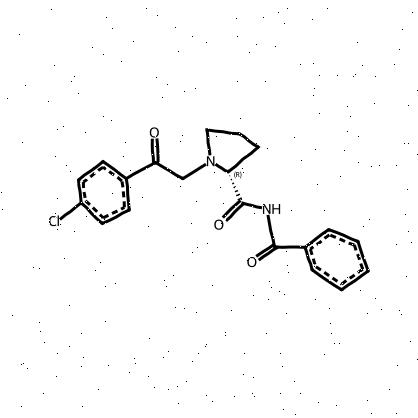 O=C(CN1CCC[C@@H]1C(=O)NC(=O)c1ccccc1)c1ccc(Cl)cc1